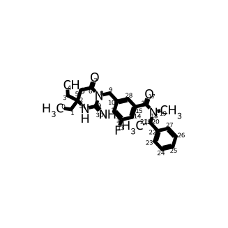 CCC1(CC)CC(=O)N(Cc2cc(F)cc(C(=O)N(C)[C@@H](C)c3ccccc3)c2)C(=N)N1